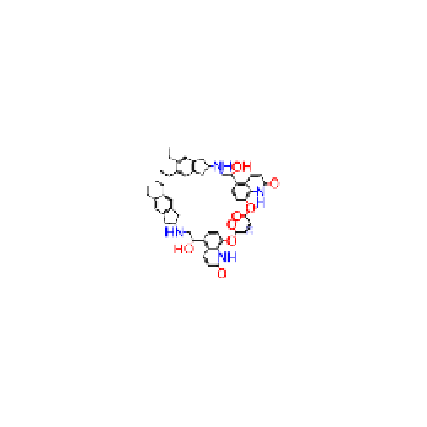 CCc1cc2c(cc1CC)CC(NCC(O)c1ccc(OC(=O)/C=C\C(=O)Oc3ccc(C(O)CNC4Cc5cc(CC)c(CC)cc5C4)c4ccc(=O)[nH]c34)c3[nH]c(=O)ccc13)C2